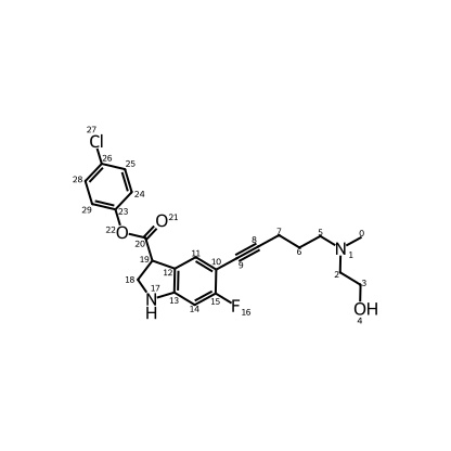 CN(CCO)CCCC#Cc1cc2c(cc1F)NCC2C(=O)Oc1ccc(Cl)cc1